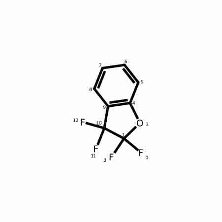 FC1(F)Oc2[c]cccc2C1(F)F